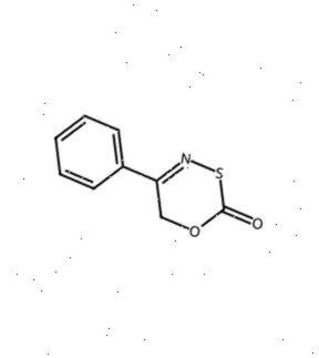 O=C1OCC(c2ccccc2)=NS1